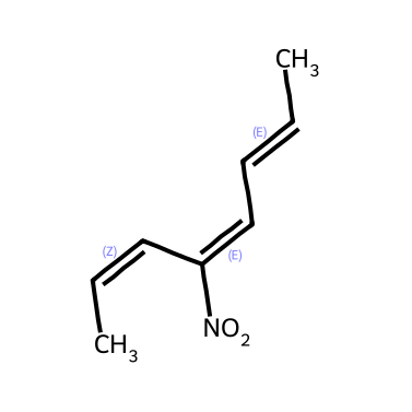 C\C=C/C(=C\C=C\C)[N+](=O)[O-]